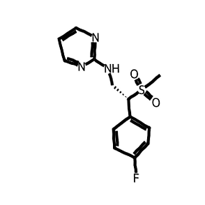 CS(=O)(=O)[C@@H](CNc1ncccn1)c1ccc(F)cc1